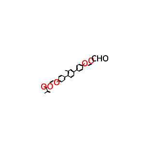 C=C(C)C(=O)O/C=C\Oc1ccc(-c2ccc(-c3ccc(O/C=C\OC=O)cc3)cc2C)cc1